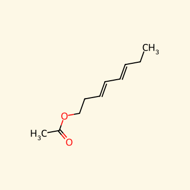 CCC=CC=CCCOC(C)=O